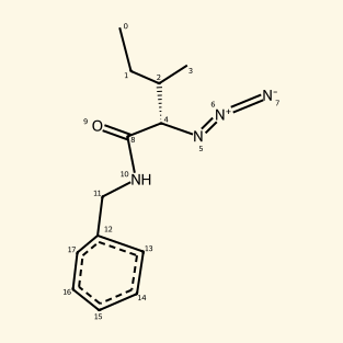 CCC(C)[C@H](N=[N+]=[N-])C(=O)NCc1ccccc1